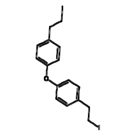 ICCc1ccc(Oc2ccc(CCI)cc2)cc1